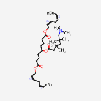 CCCC/C=C\C/C=C\COC(=O)CCCC(CCCC(=O)OC/C=C\C/C=C\CCCC)OC(=O)CC(C)(C)CC(C)(C)CN(C)C